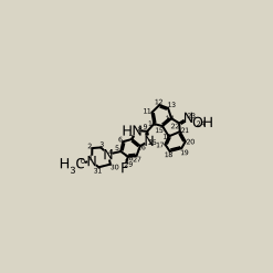 CN1CCN(c2cc3[nH]c(-c4cccc5c4-c4ccccc4/C5=N\O)nc3cc2F)CC1